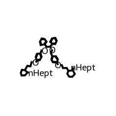 CCCCCCCC1CCCCC1CCCOc1ccc(CO[C@H](c2ccccc2)[C@H](OCc2ccc(OCCCC3CCCCC3CCCCCCC)cc2)c2ccccc2)cc1